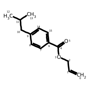 C=CCOC(=O)c1ccc(CC(C)C)cc1